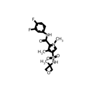 Cc1c(S(=O)(=O)NC2(C)COC2)cn(C)c1C(=O)Nc1ccc(F)c(F)c1